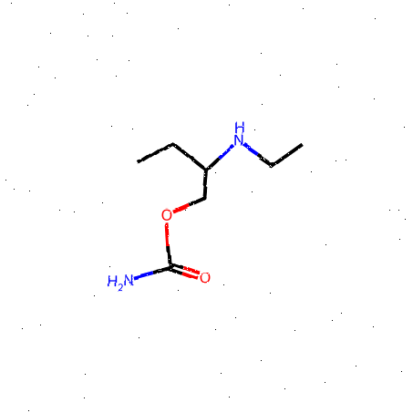 CCNC(CC)COC(N)=O